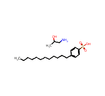 CC(O)CN.CCCCCCCCCCCCc1ccc(S(=O)(=O)O)cc1